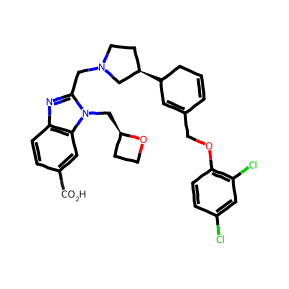 O=C(O)c1ccc2nc(CN3CC[C@@H](C4C=C(COc5ccc(Cl)cc5Cl)C=CC4)C3)n(C[C@@H]3CCO3)c2c1